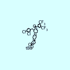 CC(C)(C)OC(=O)N1CCC(N2CCN(C3CCN(C(=O)c4cc(C(F)(F)F)cc(C(F)(F)F)c4)C(Cc4ccc(Cl)c(Cl)c4)C3)CC2)C1